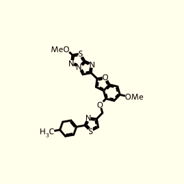 COc1cc(OCc2csc(C3=CCC(C)C=C3)n2)c2cc(-c3cn4nc(OC)sc4n3)oc2c1